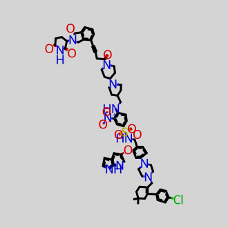 CC1(C)CCC(CN2CCN(c3ccc(C(=O)NS(=O)(=O)c4ccc(NCC5CCN(C6CCN(C(=O)CC#Cc7cccc8c7CN(C7CCC(=O)NC7=O)C8=O)CC6)CC5)c([N+](=O)[O-])c4)c(Oc4cnc5[nH]ccc5c4)c3)CC2)=C(c2ccc(Cl)cc2)C1